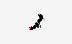 C=C(CN1CCOCC1)C(=O)Nc1cccc(Sc2ccnc(Nc3ccc(N4CCOCC4)cc3)n2)c1